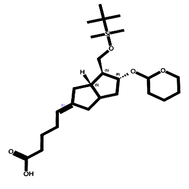 CC(C)(C)[Si](C)(C)OC[C@H]1[C@H](OC2CCCCO2)CC2C/C(=C\CCCC(=O)O)C[C@@H]21